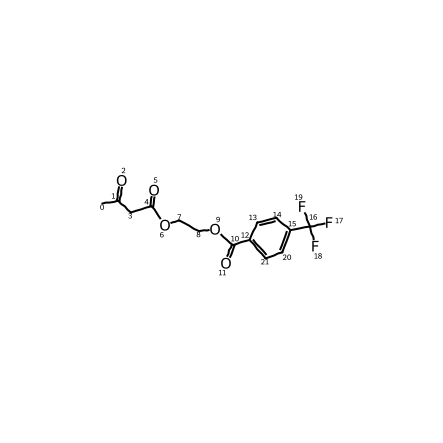 CC(=O)CC(=O)OCCOC(=O)c1ccc(C(F)(F)F)cc1